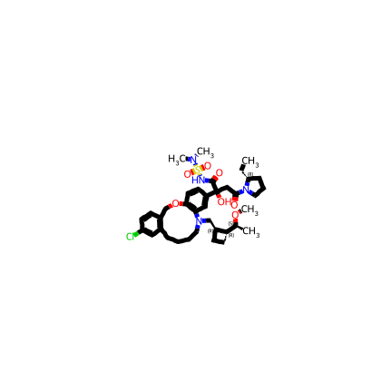 CC[C@@H]1CCCN1C(=O)CC(O)(C(=O)NS(=O)(=O)N(C)C)c1ccc2c(c1)N(C[C@@H]1CC[C@H]1[C@H](C)OC)CCCCc1cc(Cl)ccc1CO2